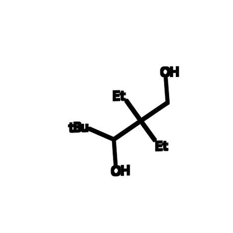 CCC(CC)(CO)C(O)C(C)(C)C